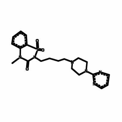 CN1C(=O)N(CCCCN2CCN(c3ncccn3)CC2)S(=O)(=O)c2ccccc21